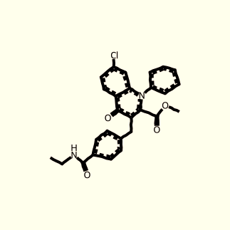 CCNC(=O)c1ccc(Cc2c(C(=O)OC)n(-c3ccccc3)c3cc(Cl)ccc3c2=O)cc1